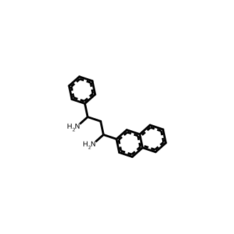 NC(CC(N)c1ccc2ccccc2c1)c1ccccc1